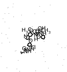 COc1cc2nccc(Oc3ccc(NC(=O)NC4CC4)c(Cl)c3)c2cc1C(=O)NP(=O)(N[C@@H](C)C(=O)O)Oc1ccccc1